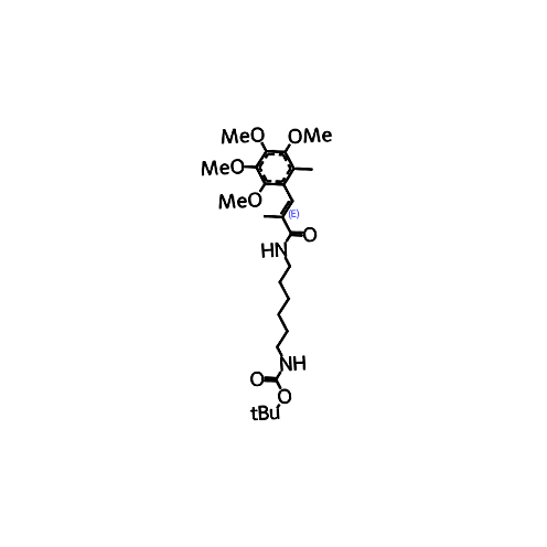 COc1c(C)c(/C=C(\C)C(=O)NCCCCCCNC(=O)OC(C)(C)C)c(OC)c(OC)c1OC